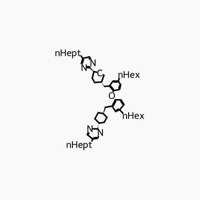 CCCCCCCc1cnc([C@H]2CC[C@H](Cc3cc(CCCCCC)ccc3Oc3ccc(CCCCCC)cc3C[C@H]3CC[C@H](c4ncc(CCCCCCC)cn4)CC3)CC2)nc1